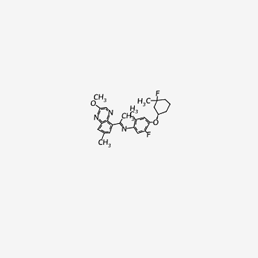 COc1cnc2c(/C(C)=N/c3cc(F)c(O[C@@H]4CCCC(C)(F)C4)cc3C)cc(C)cc2n1